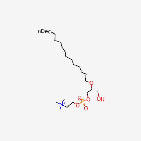 CCCCCCCCCCCCCCCCCCCCCCO[C@H](CO)COP(=O)([O-])OCC[N+](C)(C)C